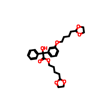 O=C(OCCCCC1OCCO1)C(O)(c1ccccc1)c1cccc(OCCCCC2OCCO2)c1